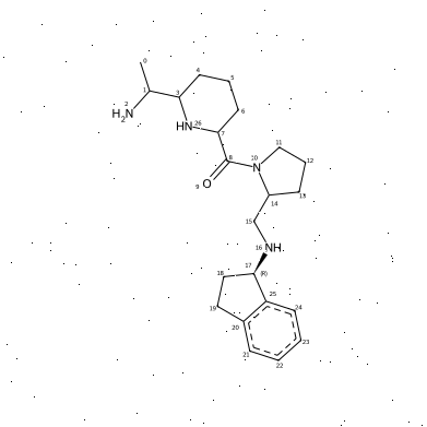 CC(N)C1CCCC(C(=O)N2CCCC2CN[C@@H]2CCc3ccccc32)N1